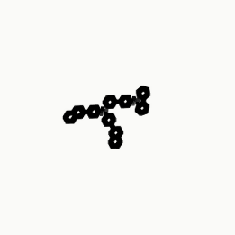 c1cc(-c2ccc(-n3c4ccccc4c4ccccc43)cc2)cc(N(c2ccc(-c3ccc4ccccc4c3)cc2)c2ccc(-c3ccc4ccccc4c3)cc2)c1